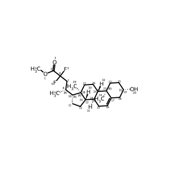 COC(=O)C(F)(F)C[C@@H](C)[C@H]1CC[C@H]2[C@@H]3CC=C4C[C@@H](O)CC[C@]4(C)[C@H]3CC[C@]12C